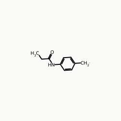 [CH2]c1ccc(NC(=O)CC)cc1